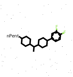 CCCCCC1CCC(C(C)C2CCC(c3ccc(F)c(F)c3)CC2)CC1